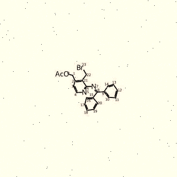 CC(=O)OCc1ccnc(N=C(c2ccccc2)c2ccccc2)c1CBr